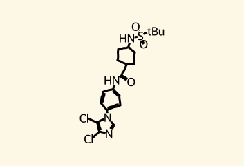 CC(C)(C)S(=O)(=O)NC1CCC(C(=O)Nc2ccc(-n3cnc(Cl)c3Cl)cc2)CC1